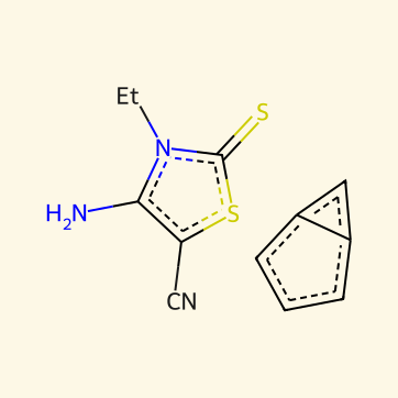 CCn1c(N)c(C#N)sc1=S.c1cc2cc-2c1